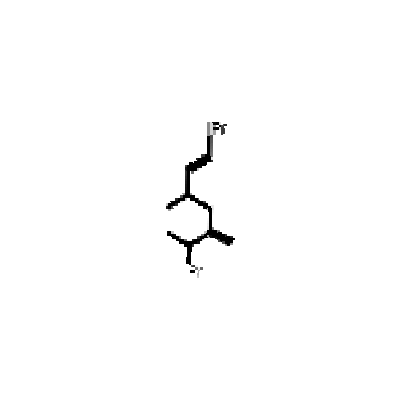 C=C(CC(C)/C=C/C(C)C)C(C)C(C)C